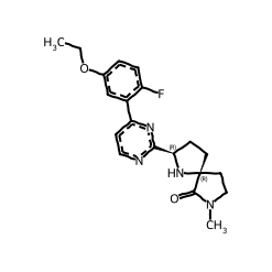 CCOc1ccc(F)c(-c2ccnc([C@H]3CC[C@]4(CCN(C)C4=O)N3)n2)c1